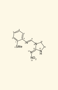 CSc1ccccc1N=CN1CCNC1=N[N+](=O)[O-]